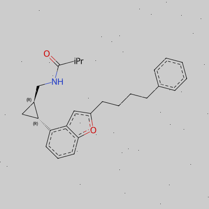 CC(C)C(=O)NC[C@@H]1C[C@H]1c1cccc2oc(CCCCc3ccccc3)cc12